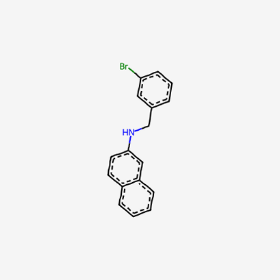 Brc1cccc(CNc2ccc3ccccc3c2)c1